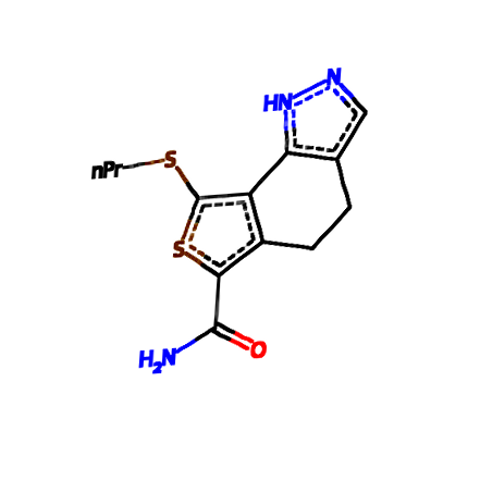 CCCSc1sc(C(N)=O)c2c1-c1[nH]ncc1CC2